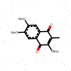 CCCCCCCCCC1=C(C)C(=O)c2cc(OC)c(OC)cc2C1=O